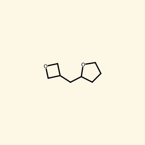 C1COC(CC2COC2)C1